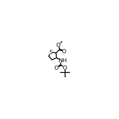 COC(=O)C1SCCC1NC(=O)OC(C)(C)C